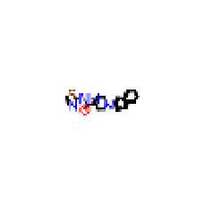 O=C(Nc1nccs1)C1CCN(c2ccc3ccccc3c2)CC1